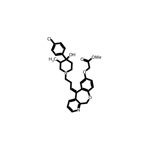 COC(=O)COc1ccc2c(c1)C(=CCCN1CCC(O)(c3ccc(Cl)cc3)C(C)C1)c1cccnc1CO2